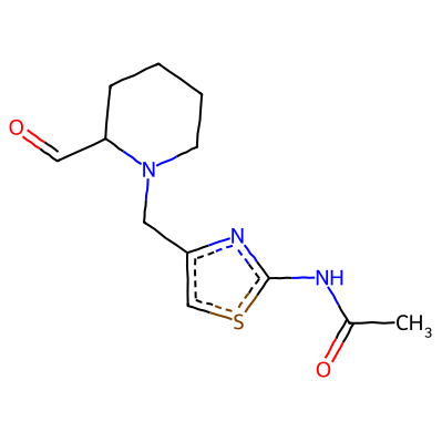 CC(=O)Nc1nc(CN2CCCCC2C=O)cs1